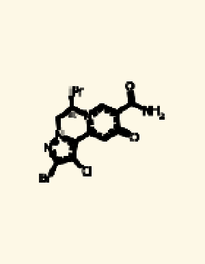 CC(C)[C@@H]1Cn2nc(Br)c(Cl)c2-c2cc(=O)c(C(N)=O)cn21